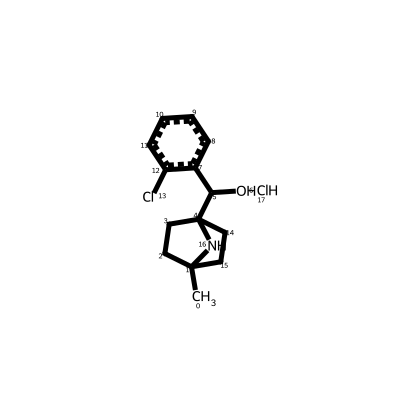 CC12CCC(C(O)c3ccccc3Cl)(CC1)N2.Cl